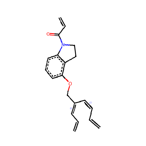 C=C/C=C\C(=C/C=C)COc1cccc2c1CCN2C(=O)C=C